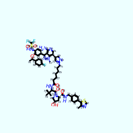 Cc1ncsc1-c1ccc(CNC(=O)[C@@H]2C[C@@H](O)CN2C(=O)C(NC(=O)CCCCCCn2cc(-c3cnc(N)c4c(-c5ccc(NS(=O)(=O)C(F)F)c(OC(C)c6ccc(F)cc6)c5)nn(C)c34)cn2)C(C)(C)C)cc1